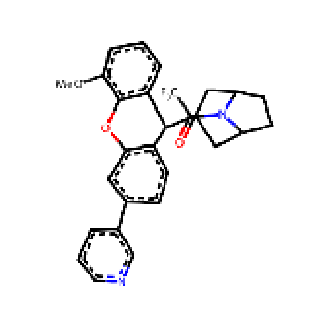 COc1cccc2c1Oc1cc(-c3cccnc3)ccc1C2C1CC2CCC(C1)N2C(=O)C(F)(F)F